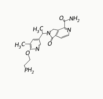 Cc1cc(C(C)N2Cc3c(ccnc3C(N)=O)C2=O)cnc1OCCP